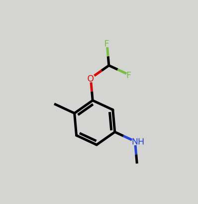 CNc1ccc(C)c(OC(F)F)c1